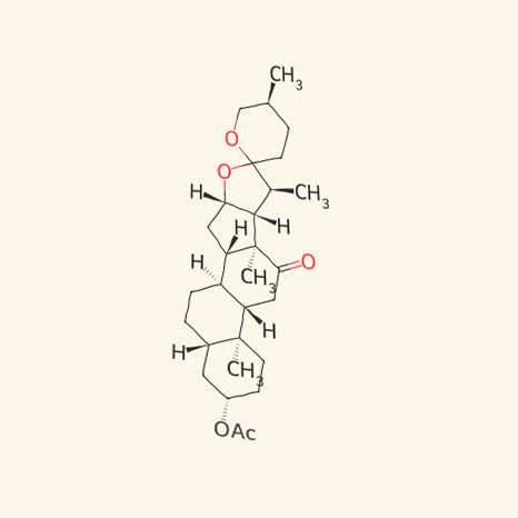 CC(=O)O[C@H]1CC[C@@]2(C)[C@@H](CC[C@@H]3[C@@H]2CC(=O)[C@]2(C)[C@@H]4[C@H](C[C@@H]32)OC2(CC[C@H](C)CO2)[C@H]4C)C1